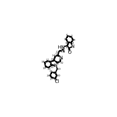 O=C1N=c2ccccc2=C1NN=Cc1cc2c3ccccc3n(Cc3cccc(Cl)c3)c2cn1